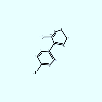 Fc1ccc(C2=CCCC=C2S)cc1